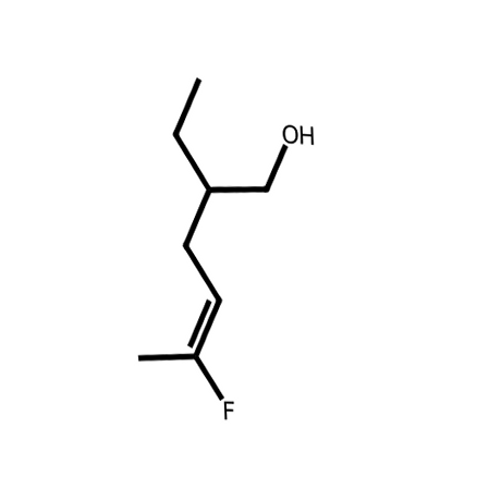 CCC(CO)C/C=C(\C)F